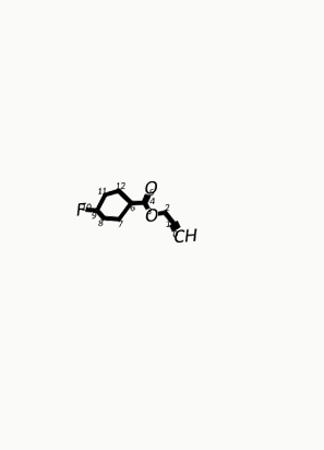 C#CCOC(=O)C1CCC(F)CC1